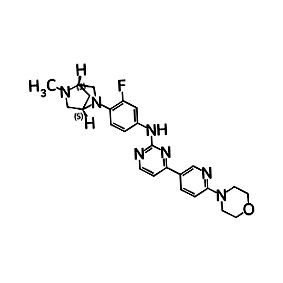 CN1C[C@@H]2C[C@H]1CN2c1ccc(Nc2nccc(-c3ccc(N4CCOCC4)nc3)n2)cc1F